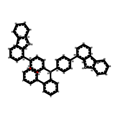 c1ccc(-c2ccccc2N(c2ccc(-c3cccc4c3oc3ccccc34)cc2)c2ccc(-c3cccc4c3oc3ccccc34)cc2)cc1